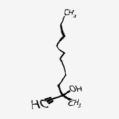 C#CC(C)(O)CCCCCCCC